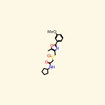 COc1cccc(-c2nc(C[S+]([O-])CC(=O)NC3CCCC3)c(C)o2)c1